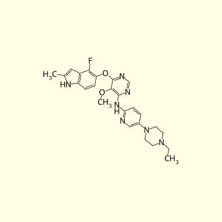 CCN1CCN(c2ccc(Nc3ncnc(Oc4ccc5[nH]c(C)cc5c4F)c3OC)nc2)CC1